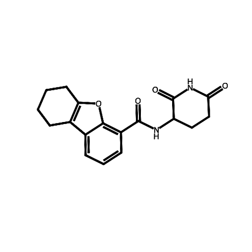 O=C1CCC(NC(=O)c2cccc3c4c(oc23)CCCC4)C(=O)N1